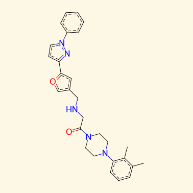 Cc1cccc(N2CCN(C(=O)CNCc3coc(-c4ccn(-c5ccccc5)n4)c3)CC2)c1C